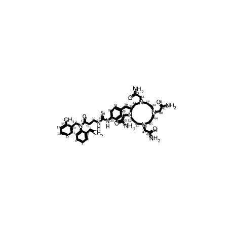 C=Cc1ccccc1N(Cc1ccccc1C)C(=O)CCNC(=S)Nc1ccc(CC2CN(CC(N)=O)CCN(CC(N)=O)CCN(CC(N)=O)CCN2CC(N)=O)cc1